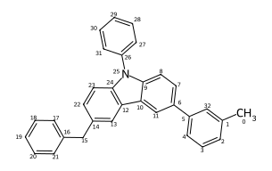 Cc1cccc(-c2ccc3c(c2)c2cc(Cc4ccccc4)ccc2n3-c2ccccc2)c1